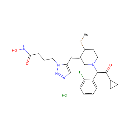 CC(=O)SC1CCN(C(C(=O)C2CC2)c2ccccc2F)C/C1=C\c1cnnn1CCCC(=O)NO.Cl